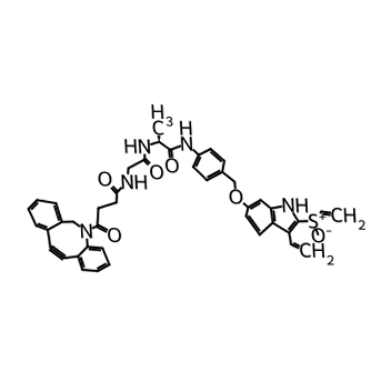 C=Cc1c([S+]([O-])C=C)[nH]c2cc(OCc3ccc(NC(=O)[C@H](C)NC(=O)CNC(=O)CCC(=O)N4Cc5ccccc5C#Cc5ccccc54)cc3)ccc12